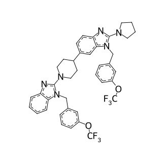 FC(F)(F)Oc1cccc(Cn2c(N3CCCC3)nc3ccc(C4CCN(c5nc6ccccc6n5Cc5cccc(OC(F)(F)F)c5)CC4)cc32)c1